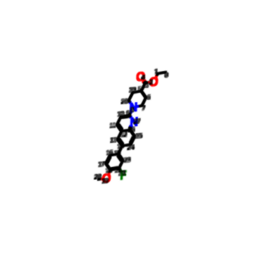 CCOC(=O)C1CCN(c2ccc3cc(-c4ccc(OC)c(F)c4)ccc3n2)CC1